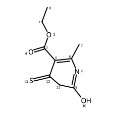 CCOC(=O)C1=C(C)N=C(O)CC1=S